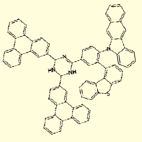 c1ccc2cc3c(cc2c1)c1ccccc1n3-c1ccc(C2=NC(c3ccc4c5ccccc5c5ccccc5c4c3)NC(c3ccc4c5ccccc5c5ccccc5c4c3)N2)cc1-c1cccc2sc3ccccc3c12